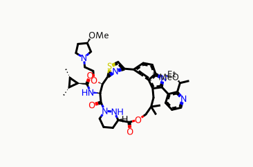 CCn1c(-c2cccnc2[C@H](C)OC)c2c3cc(ccc31)-c1csc(n1)[C@@H](OCCN1CC[C@@H](OC)C1)[C@H](NC(=O)[C@H]1[C@H](C)[C@@H]1C)C(=O)N1CCC[C@H](N1)C(=O)OCC(C)(C)C2